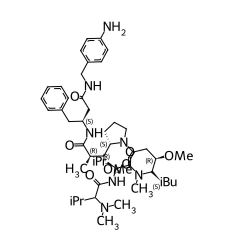 CC[C@H](C)C([C@@H](CC(=O)N1CCC[C@H]1[C@H](OC)[C@@H](C)C(=O)N[C@H](CC(=O)NCc1ccc(N)cc1)Cc1ccccc1)OC)N(C)C(=O)[C@@H](NC(=O)C(C(C)C)N(C)C)C(C)C